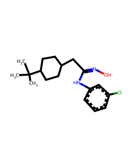 CC(C)(C)C1CCC(C/C(=N/O)Nc2cccc(Cl)c2)CC1